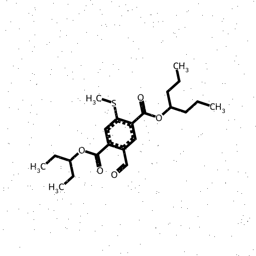 CCCC(CCC)OC(=O)c1cc(C=O)c(C(=O)OC(CC)CC)cc1SC